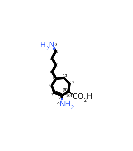 NCCCCC1CC=C(N)[C@H](C(=O)O)CC1